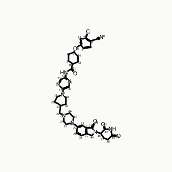 N#Cc1ccc(OC2CCC(C(=O)Nc3cnc(N4CCC(CN5CCN(c6ccc7c(c6)C(=O)N(C6CCC(=O)NC6=O)C7)CC5)CC4)cn3)CC2)cc1Cl